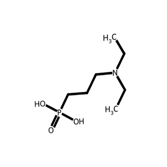 CCN(CC)CCCP(=O)(O)O